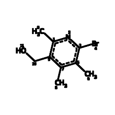 Cc1nc(Br)c(C)c(C)c1CO